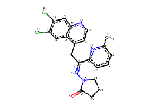 Cc1cccc(/C(Cc2ccnc3cc(Cl)c(Cl)cc23)=N\N2CCCC2=O)n1